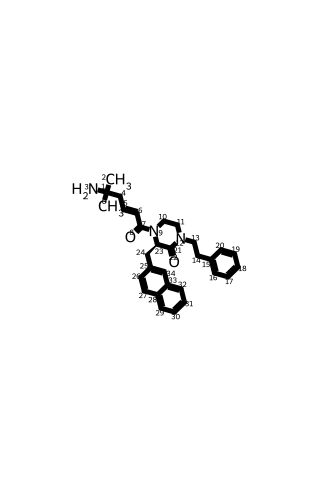 CC(C)(N)C/C=C/C(=O)N1CCN(CCc2ccccc2)C(=O)[C@H]1Cc1ccc2ccccc2c1